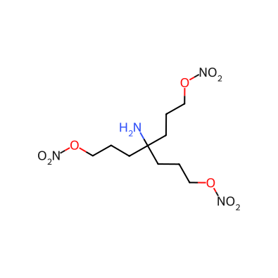 NC(CCCO[N+](=O)[O-])(CCCO[N+](=O)[O-])CCCO[N+](=O)[O-]